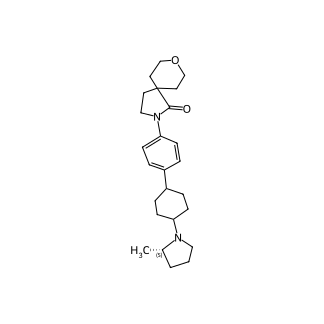 C[C@H]1CCCN1C1CCC(c2ccc(N3CCC4(CCOCC4)C3=O)cc2)CC1